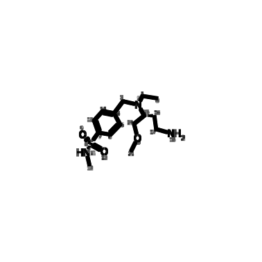 CCN(Cc1ccc(S(=O)(=O)NC)cc1)[C@H](CCN)COC